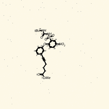 COC(=O)CCCC#Cc1cccc(Oc2ccc([N+](=O)[O-])cc2S(=O)(=O)NC(=O)NC(C)(C)C)c1